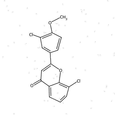 COc1ccc(-c2cc(=O)c3cccc(Cl)c3o2)cc1Cl